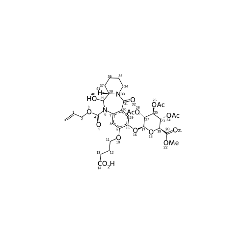 C=CCOC(=O)N1c2cc(OCCCC(=O)O)c(O[C@@H]3O[C@H](C(=O)OC)[C@@H](OC(C)=O)[C@H](OC(C)=O)[C@H]3OC(C)=O)cc2C(=O)N2CCCC[C@H]2C1O